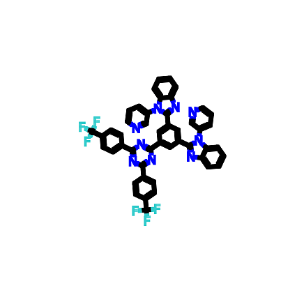 FC(F)(F)c1ccc(-c2nc(-c3ccc(C(F)(F)F)cc3)nc(-c3cc(-c4nc5ccccc5n4-c4cccnc4)cc(-c4nc5ccccc5n4-c4cccnc4)c3)n2)cc1